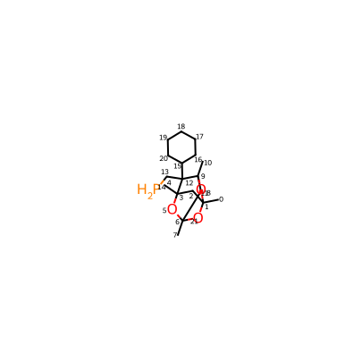 CC12CC3(C)OC(C)(CC(C)(O1)C3(CP)C1CCCCC1)O2